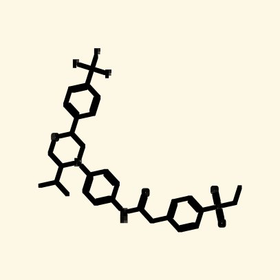 CCS(=O)(=O)c1ccc(CC(=O)Nc2ccc(N3CC(c4ccc(C(F)(F)F)cc4)OCC3C(C)C)cc2)cc1